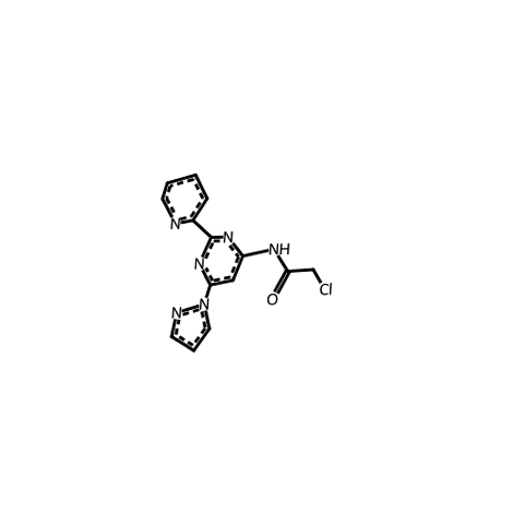 O=C(CCl)Nc1cc(-n2cccn2)nc(-c2ccccn2)n1